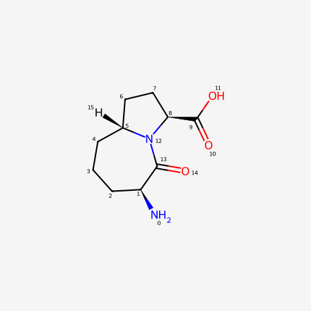 N[C@H]1CCC[C@@H]2CC[C@@H](C(=O)O)N2C1=O